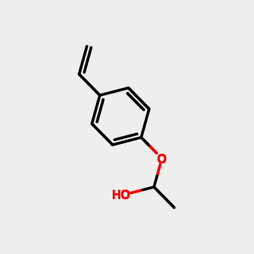 C=Cc1ccc(OC(C)O)cc1